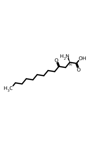 CCCCCCCCCC(=O)C[C@@H](N)C(=O)O